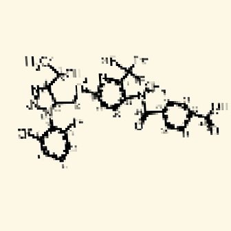 CC(C)C1N=NN(c2c(Cl)cccc2I)C1COc1ccc(N(C)C(=O)c2ccc(C(=O)O)cc2)c(C(F)(F)F)n1